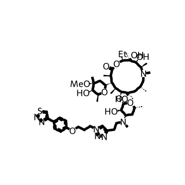 CC[C@H]1OC(=O)[C@H](C)[C@@H](C2C[C@@](C)(OC)[C@@H](O)[C@H](C)O2)[C@H](C)[C@@H](O[C@@H]2O[C@H](C)C[C@H](N(C)CCc3cn(CCCOc4ccc(-c5csnn5)cc4)nn3)[C@H]2O)[C@](C)(O)C[C@@H](C)CN(C)[C@H](C)[C@@H](O)[C@]1(C)O